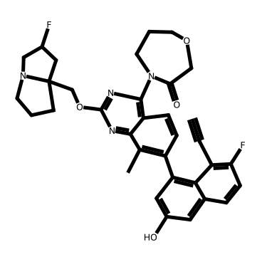 C#Cc1c(F)ccc2cc(O)cc(-c3ccc4c(N5CCCOCC5=O)nc(OCC56CCCN5CC(F)C6)nc4c3C)c12